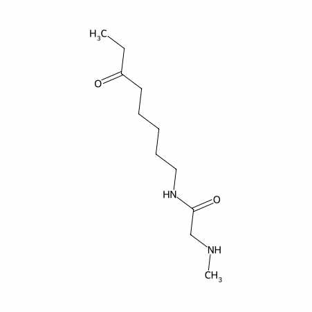 CCC(=O)CCCCCNC(=O)CNC